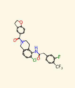 O=C(Cc1ccc(C(F)(F)F)c(F)c1)Nc1c(Cl)ccc2c1CCN(C(=O)c1ccc3c(c1)CCO3)C2